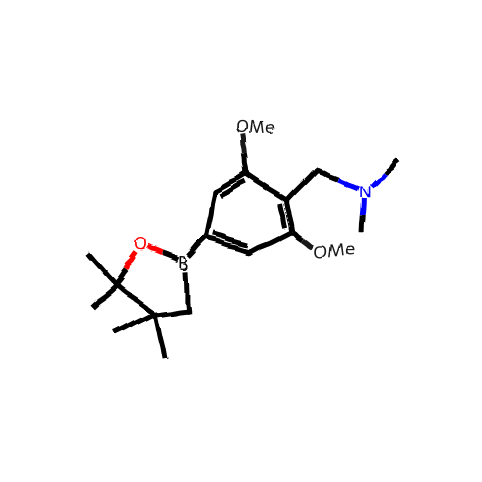 COc1cc(B2CC(C)(C)C(C)(C)O2)cc(OC)c1CN(C)C